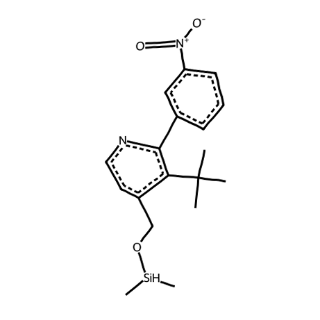 C[SiH](C)OCc1ccnc(-c2cccc([N+](=O)[O-])c2)c1C(C)(C)C